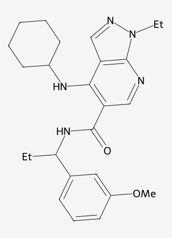 CCC(NC(=O)c1cnc2c(cnn2CC)c1NC1CCCCC1)c1cccc(OC)c1